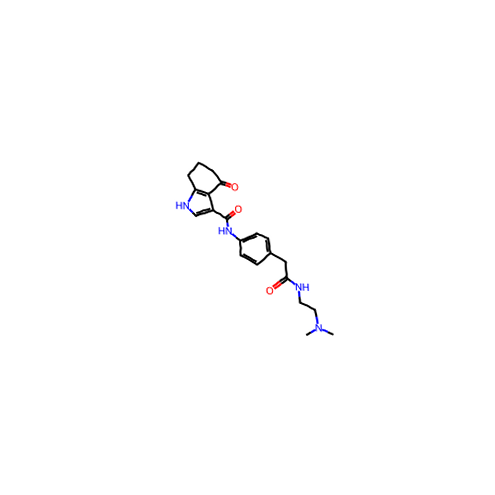 CN(C)CCNC(=O)Cc1ccc(NC(=O)c2c[nH]c3c2C(=O)CCC3)cc1